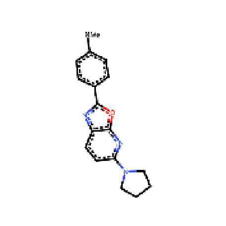 CNc1ccc(-c2nc3ccc(N4CCCC4)nc3o2)cc1